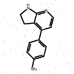 CC(C)(C)c1ccc(-c2ccnc3c2CCN3)cc1